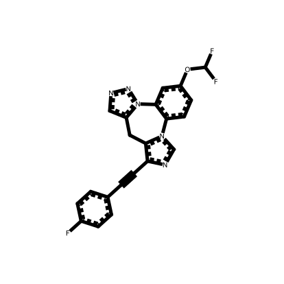 Fc1ccc(C#Cc2ncn3c2Cc2cnnn2-c2cc(OC(F)F)ccc2-3)cc1